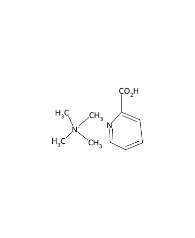 C[N+](C)(C)C.O=C(O)c1ccccn1